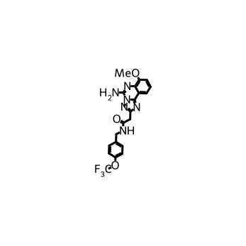 COc1cccc2c1nc(N)n1nc(CC(=O)NCc3ccc(OC(F)(F)F)cc3)nc21